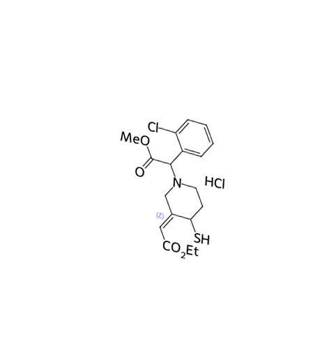 CCOC(=O)/C=C1/CN(C(C(=O)OC)c2ccccc2Cl)CCC1S.Cl